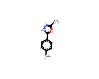 COc1ccc(-c2nnc(C(Cl)(Cl)Cl)o2)cc1